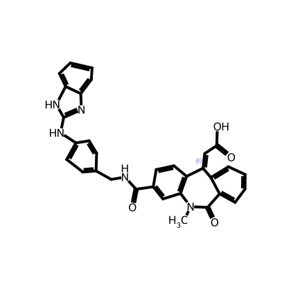 CN1C(=O)c2ccccc2/C(=C\C(=O)O)c2ccc(C(=O)NCc3ccc(Nc4nc5ccccc5[nH]4)cc3)cc21